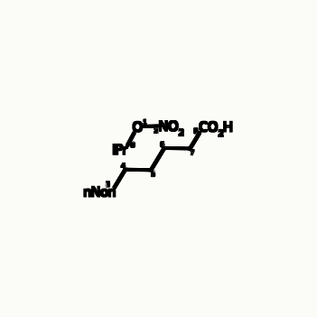 CC(C)O[N+](=O)[O-].CCCCCCCCCCCCCC(=O)O